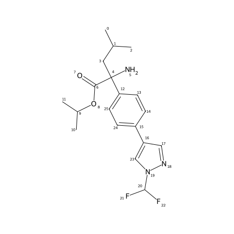 CC(C)CC(N)(C(=O)OC(C)C)c1ccc(-c2cnn(C(F)F)c2)cc1